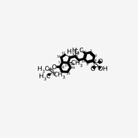 Cc1ccc(S(=O)(=O)O)cc1C[C@@H](C)[C@H]1CCC2C(O[Si](C)(C)C)CCC[C@@]21C